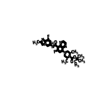 Cc1cn2cc(NC(=O)c3c(F)cc(N4C[C@@H](C)N(C(=O)OC(C)(C)C)[C@@H](C)C4)c4nccnc34)cc(F)c2n1